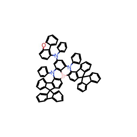 c1ccc(N2c3cc(N(c4ccccc4)c4cccc5oc6ccccc6c45)cc4c3B(c3ccc5c(c32)-c2ccccc2C52c3ccccc3-c3ccccc32)c2ccc3c(c2N4c2ccccc2)-c2ccccc2C32c3ccccc3-c3ccccc32)cc1